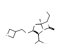 C[C@@H](O)[C@H]1C(=O)N2C(C(O)O)=C(SCC3CNC3)S[C@H]12